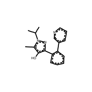 Cc1c(O)c(-c2ccccc2-c2cccnc2)nn1C(C)C